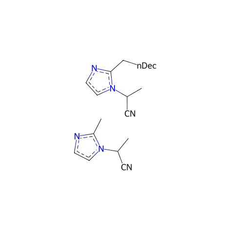 CCCCCCCCCCCc1nccn1C(C)C#N.Cc1nccn1C(C)C#N